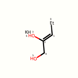 CCC=C(O)CO.[KH]